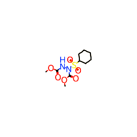 COC(=O)NN(C(=O)OC)S(=O)(=O)C1CCCCC1